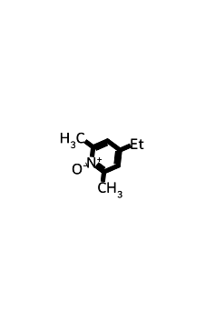 CCc1cc(C)[n+]([O-])c(C)c1